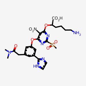 CN(C)C(=O)Cc1cc(Oc2nc(S(C)(=O)=O)nc(OC(CCCCN)C(=O)O)c2[N+](=O)[O-])cc(-c2ncc[nH]2)c1